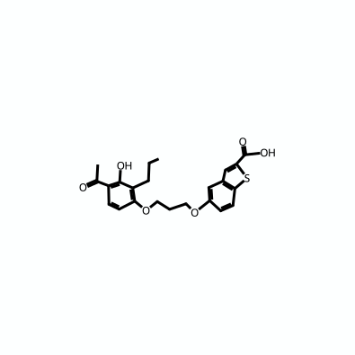 CCCc1c(OCCCOc2ccc3sc(C(=O)O)cc3c2)ccc(C(C)=O)c1O